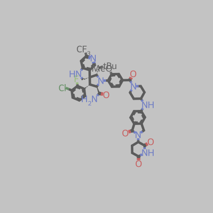 COc1cc(C(=O)N2CCC(Nc3ccc4c(c3)CN(C3CCC(=O)NC3=O)C4=O)CC2)ccc1N1[C@@H](CC(C)(C)C)[C@@]2(CNc3cc(C(F)(F)F)ncc32)[C@@H](c2cccc(Cl)c2F)[C@@H]1C(N)=O